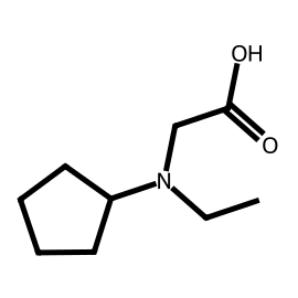 CCN(CC(=O)O)C1CCCC1